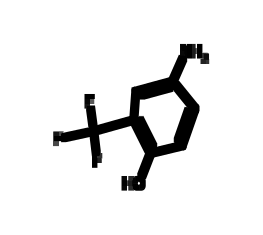 Nc1ccc(O)c(C(F)(F)F)c1